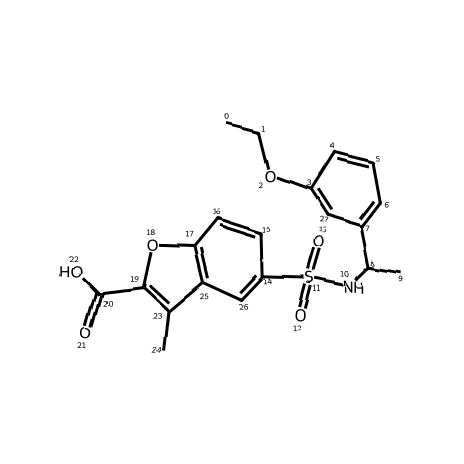 CCOc1cccc(C(C)NS(=O)(=O)c2ccc3oc(C(=O)O)c(C)c3c2)c1